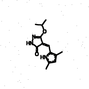 Cc1cc(C)c(C=C2C(=O)NN=C2OC(C)C)[nH]1